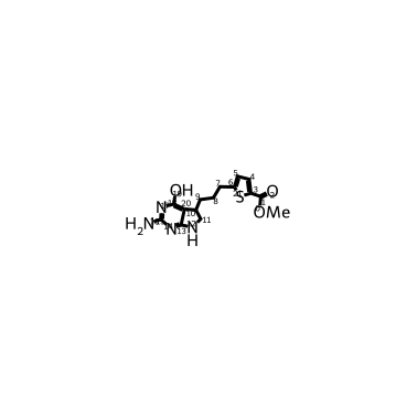 COC(=O)c1ccc(CCCC2CNc3nc(N)nc(O)c32)s1